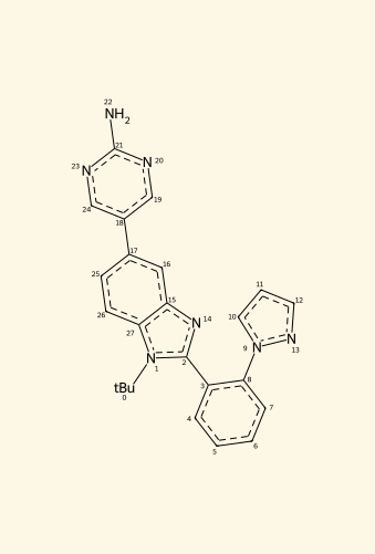 CC(C)(C)n1c(-c2ccccc2-n2cccn2)nc2cc(-c3cnc(N)nc3)ccc21